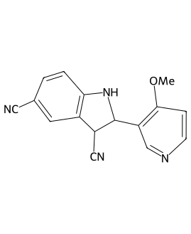 COc1ccncc1C1Nc2ccc(C#N)cc2C1C#N